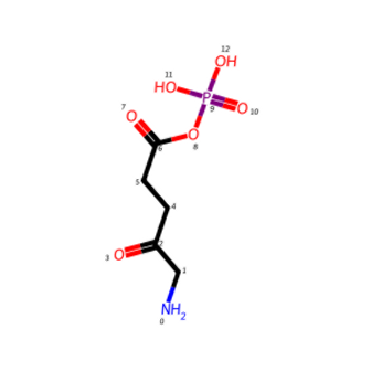 NCC(=O)CCC(=O)OP(=O)(O)O